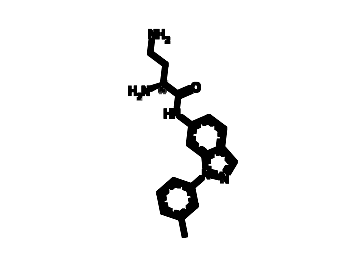 Cc1cccc(-n2ncc3ccc(NC(=O)[C@@H](N)CCN)cc32)c1